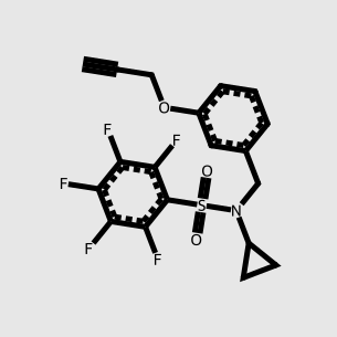 C#CCOc1cccc(CN(C2CC2)S(=O)(=O)c2c(F)c(F)c(F)c(F)c2F)c1